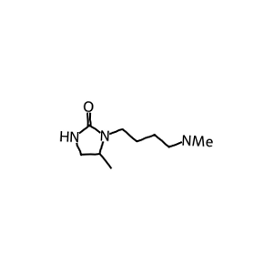 CNCCCCN1C(=O)NCC1C